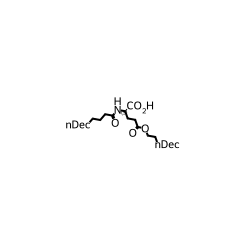 CCCCCCCCCCCCCC(=O)N[C@@H](CCC(=O)OCCCCCCCCCCCC)C(=O)O